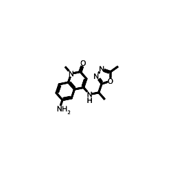 Cc1nnc(C(C)Nc2cc(=O)n(C)c3ccc(N)cc23)o1